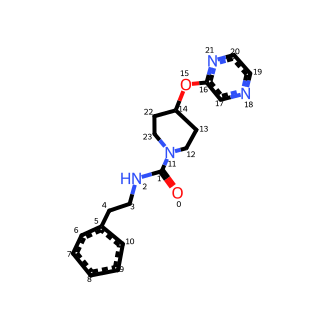 O=C(NCCc1ccccc1)N1CCC(Oc2cnccn2)CC1